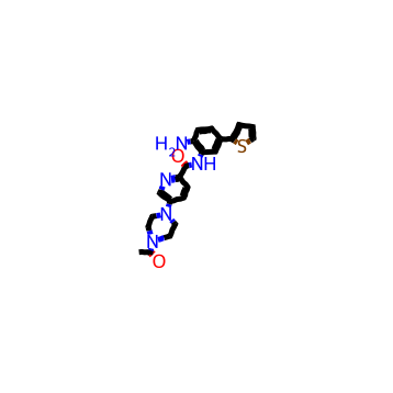 CC(=O)N1CCN(c2ccc(C(=O)Nc3cc(-c4cccs4)ccc3N)nc2)CC1